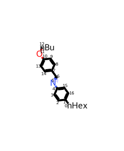 CCCCCCc1ccc(/N=C/c2ccc(OCCCC)cc2)cc1